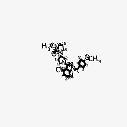 COc1ccc(Cn2nc(N3CCC(N4CCCN(C)C4=O)C3)c3c(Cl)ccnc32)cc1